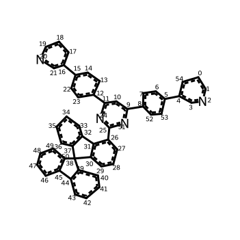 c1cncc(-c2ccc(-c3cc(-c4ccc(-c5cccnc5)cc4)nc(-c4cccc5c4-c4ccccc4C54c5ccccc5-c5ccccc54)n3)cc2)c1